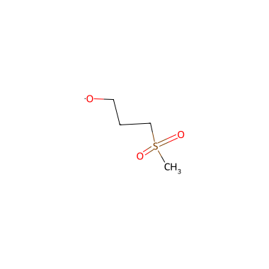 CS(=O)(=O)CCC[O]